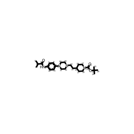 CC(C)C(=O)Nc1ccc(N2CCN(CCC3CCN(C(=O)OC(C)(C)C)CC3)CC2)cc1